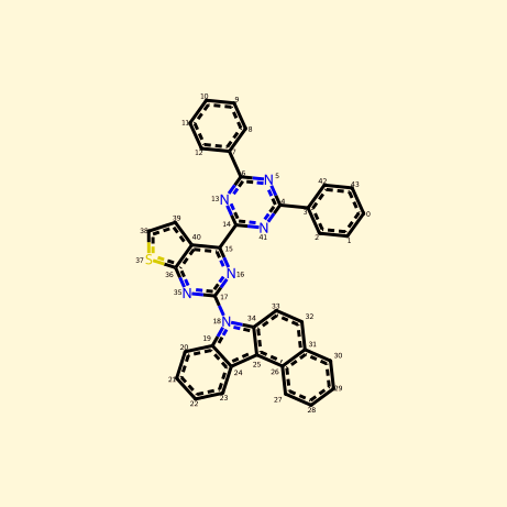 c1ccc(-c2nc(-c3ccccc3)nc(-c3nc(-n4c5ccccc5c5c6ccccc6ccc54)nc4sccc34)n2)cc1